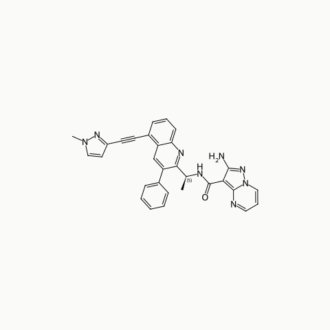 C[C@H](NC(=O)c1c(N)nn2cccnc12)c1nc2cccc(C#Cc3ccn(C)n3)c2cc1-c1ccccc1